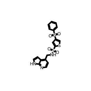 O=S(=O)(NCc1ccnc2[nH]ccc12)c1cc(S(=O)(=O)c2ccccc2)cs1